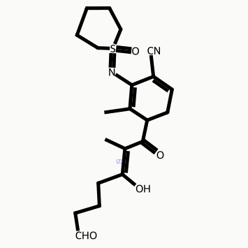 CC1=C(N=S2(=O)CCCCC2)C(C#N)=CCC1C(=O)/C(C)=C(\O)CCCC=O